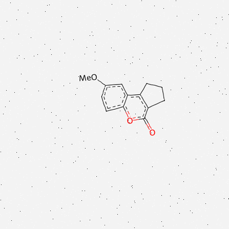 COc1ccc2oc(=O)c3c(c2c1)CCC3